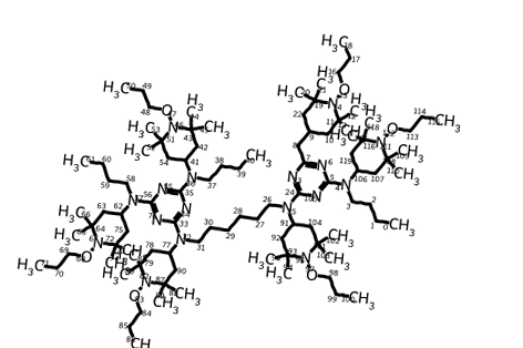 CCCCN(c1nc(CC2CC(C)(C)N(OCCC)C(C)(C)C2)nc(N(CCCCCCN(c2nc(N(CCCC)C3CC(C)(C)N(OCCC)C(C)(C)C3)nc(N(CCCC)C3CC(C)(C)N(OCCC)C(C)(C)C3)n2)C2CC(C)(C)N(OCCC)C(C)(C)C2)C2CC(C)(C)N(OCCC)C(C)(C)C2)n1)C1CC(C)(C)N(OCCC)C(C)(C)C1